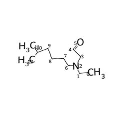 CCN(CC=O)CCCCC(C)C